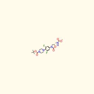 COC(=O)NC[C@H]1CN(c2cc(F)c(N3CCN(C(=O)OC(C)(C)C)CC3)c(F)c2)C(=O)O1